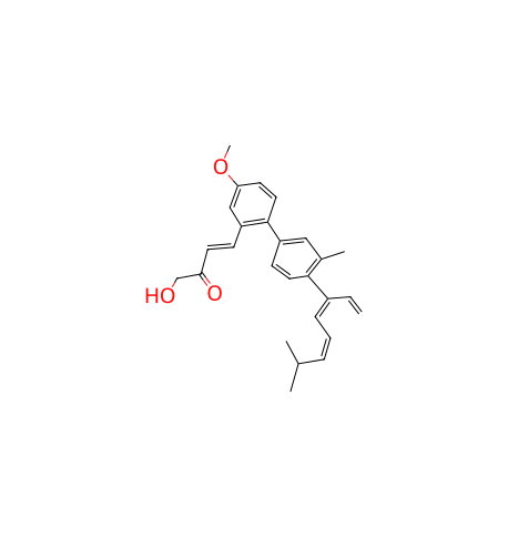 C=C/C(=C\C=C/C(C)C)c1ccc(-c2ccc(OC)cc2/C=C/C(=O)CO)cc1C